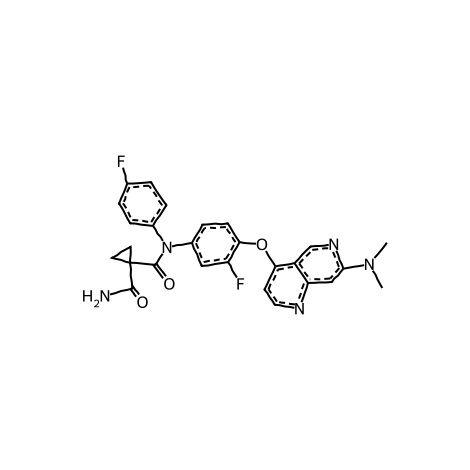 CN(C)c1cc2nccc(Oc3ccc(N(C(=O)C4(C(N)=O)CC4)c4ccc(F)cc4)cc3F)c2cn1